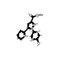 COC(=O)c1cc(-c2ccccn2)n(-c2cnc(Cl)cn2)n1